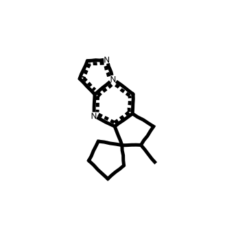 CC1Cc2cn3nccc3nc2C12CCCC2